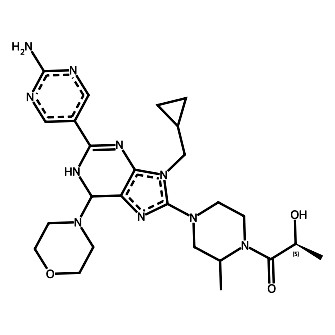 CC1CN(c2nc3c(n2CC2CC2)N=C(c2cnc(N)nc2)NC3N2CCOCC2)CCN1C(=O)[C@H](C)O